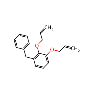 C=CCOc1cccc(Cc2ccccc2)c1OCC=C